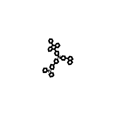 c1ccc(-c2c3ccccc3c(-c3ccc(N(c4ccc(-c5ccc(N(c6ccccc6)c6ccccc6)cc5)cc4)c4ccc(-c5cccc6ccccc56)cc4)cc3)c3ccccc23)cc1